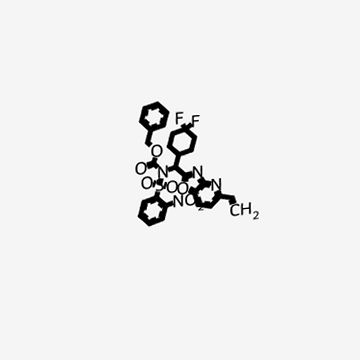 C=Cc1ccc2oc(C(C3CCC(F)(F)CC3)N(C(=O)OCc3ccccc3)S(=O)(=O)c3ccccc3[N+](=O)[O-])nc2n1